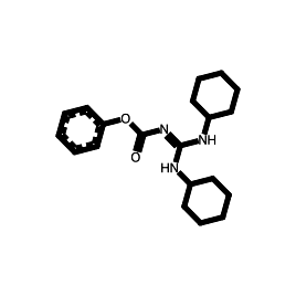 O=C(N=C(NC1CCCCC1)NC1CCCCC1)Oc1ccccc1